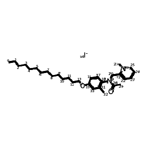 CCCCCCCCCCCCCCOc1ccc(N(Cc2cccc[n+]2C)C(C)=O)c(C)c1.[I-]